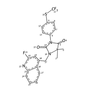 CC1(C)C(=O)N(c2ccc(SC(F)(F)F)cc2)C(=O)N1Cc1cc(F)nc2ccccc12